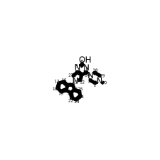 CN1CCN(c2nc(O)nc3c2CN(C2c4ccccc4-c4ccccc42)C3)CC1